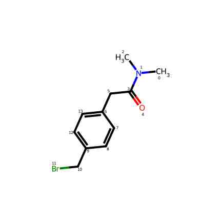 CN(C)C(=O)Cc1ccc(CBr)cc1